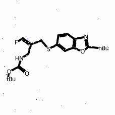 CCCCc1nc2ccc(SC/C(=C/F)CNC(=O)OC(C)(C)C)cc2o1